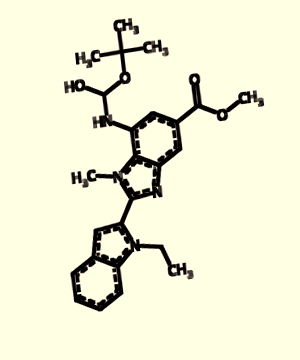 CCn1c(-c2nc3cc(C(=O)OC)cc(NC(O)OC(C)(C)C)c3n2C)cc2ccccc21